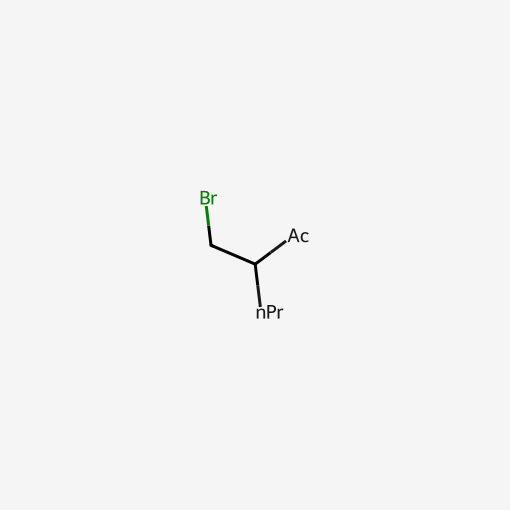 CCCC(CBr)C(C)=O